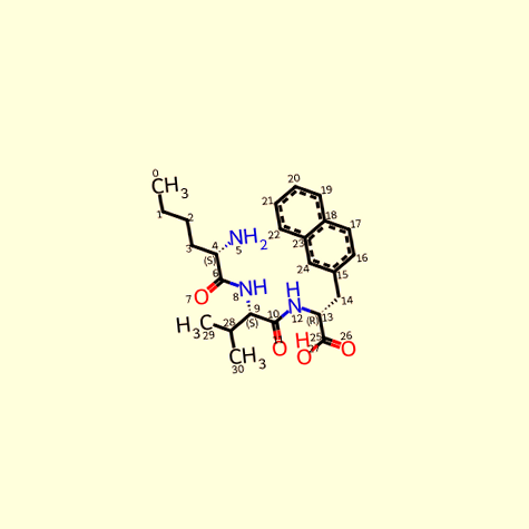 CCCC[C@H](N)C(=O)N[C@H](C(=O)N[C@H](Cc1ccc2ccccc2c1)C(=O)O)C(C)C